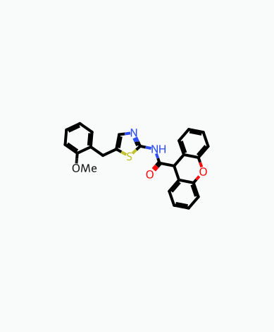 COc1ccccc1Cc1cnc(NC(=O)C2c3ccccc3Oc3ccccc32)s1